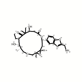 CC[C@H]1C(=O)C(C)(C)[C@@H](O)CC(=O)O[C@H](c2ccc3oc(CN)nc3c2)C[C@@H]2O[C@]2(C)CCC[C@H](C)[C@@H]1O